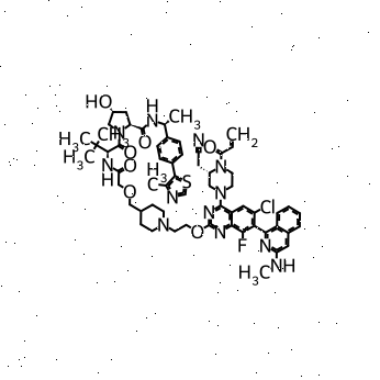 C=CC(=O)N1CCN(c2nc(OCCN3CCC(COCC(=O)N[C@H](C(=O)N4C[C@H](O)C[C@H]4C(=O)N[C@@H](C)c4ccc(-c5scnc5C)cc4)C(C)(C)C)CC3)nc3c(F)c(-c4nc(NC)cc5ccccc45)c(Cl)cc23)C[C@@H]1CC#N